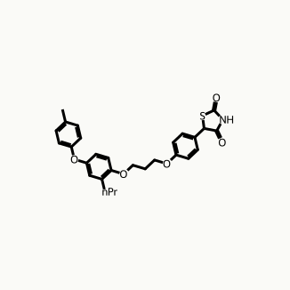 CCCc1cc(Oc2ccc(C)cc2)ccc1OCCCOc1ccc(C2SC(=O)NC2=O)cc1